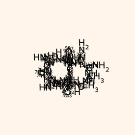 C[C@@H]1NC(=O)[C@H](C)NC(=O)[C@H](CCCN)NC(=O)[C@H](CCCCN)NC(=O)C2CSS[C@H](NC(=O)[C@H](Cc3c[nH]c4ccccc34)NC1=O)C(=O)N1CSC[C@H]1C(=O)N[C@@H](Cc1c[nH]cn1)C(=O)N[C@H](Cc1ccccc1)C(=O)N[C@@H](Cc1c[nH]cn1)C(=O)N[C@@H](Cc1c[nH]c3ccccc13)C(=O)N2